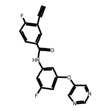 C#Cc1cc(C(=O)Nc2cc(F)cc(Oc3cncnc3)c2)ccc1F